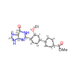 CCOc1cc(-c2ccc(C(=O)OC)cc2)ccc1-c1nc2[nH]cnc2c(=O)[nH]1